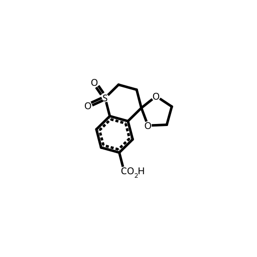 O=C(O)c1ccc2c(c1)C1(CCS2(=O)=O)OCCO1